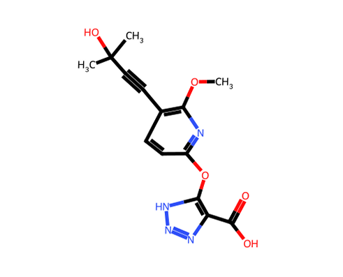 COc1nc(Oc2[nH]nnc2C(=O)O)ccc1C#CC(C)(C)O